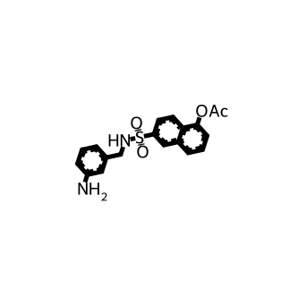 CC(=O)Oc1cccc2cc(S(=O)(=O)NCc3cccc(N)c3)ccc12